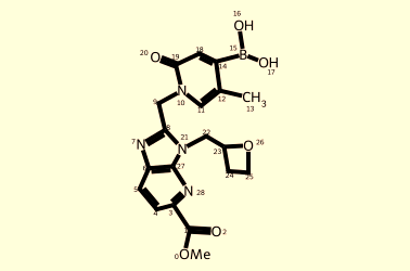 COC(=O)c1ccc2nc(Cn3cc(C)c(B(O)O)cc3=O)n(CC3CCO3)c2n1